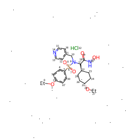 CCOc1ccc(S(=O)(=O)N(Cc2ccncc2)C(C(=O)NO)[C@H]2CC[C@H](OCC)CC2)cc1.Cl